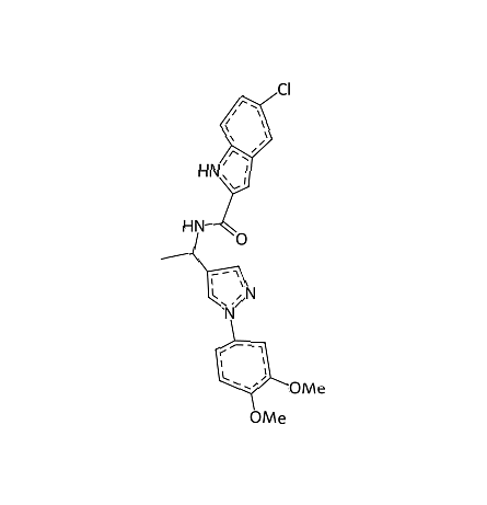 COc1ccc(-n2cc(C(C)NC(=O)c3cc4cc(Cl)ccc4[nH]3)cn2)cc1OC